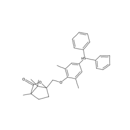 Cc1cc([SH](c2ccccc2)c2ccccc2)cc(C)c1OCC12CCC(C)(C(=O)O1)C2(C)C